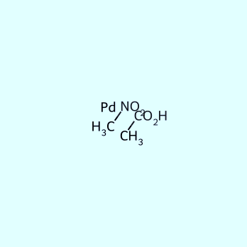 CC(=O)O.C[N+](=O)[O-].[Pd]